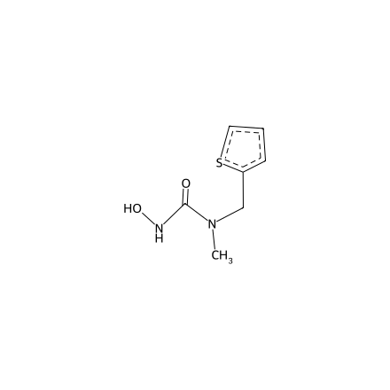 CN(Cc1cccs1)C(=O)NO